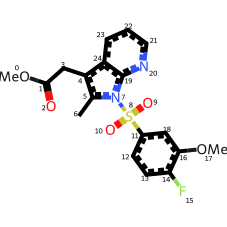 COC(=O)Cc1c(C)n(S(=O)(=O)c2ccc(F)c(OC)c2)c2ncccc12